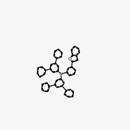 c1ccc(-c2cc(-c3ccccc3)cc(N(c3cc(-c4ccccc4)cc(-c4ccccc4)c3)c3cccc(-c4cc5ccccc5o4)c3)c2)cc1